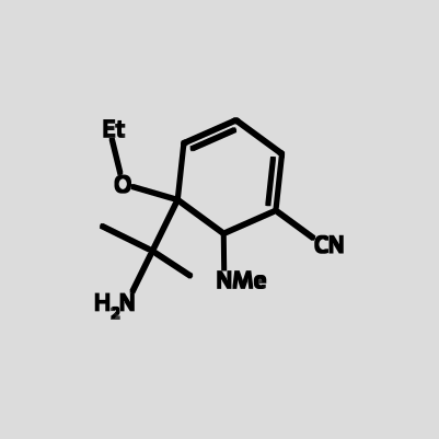 CCOC1(C(C)(C)N)C=CC=C(C#N)C1NC